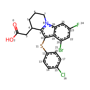 O=C(O)CC1CCCn2c1c(Sc1ccc(Cl)cc1)c1c(Br)cc(F)cc12